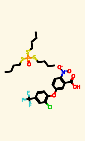 CCCCSP(=O)(SCCCC)SCCCC.O=C(O)c1cc(Oc2ccc(C(F)(F)F)cc2Cl)ccc1[N+](=O)[O-]